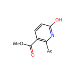 COC(=O)c1ccc(O)nc1C(C)=O